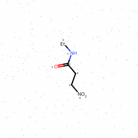 CCNC(=O)CC[N+](=O)[O-]